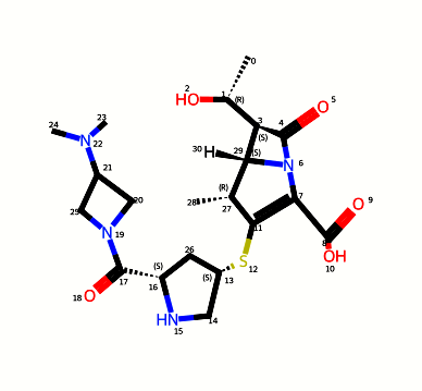 C[C@@H](O)[C@H]1C(=O)N2C(C(=O)O)=C(S[C@@H]3CN[C@H](C(=O)N4CC(N(C)C)C4)C3)[C@H](C)[C@H]12